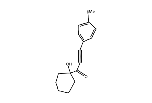 CSc1ccc(C#CC(=O)C2(O)CCCCC2)cc1